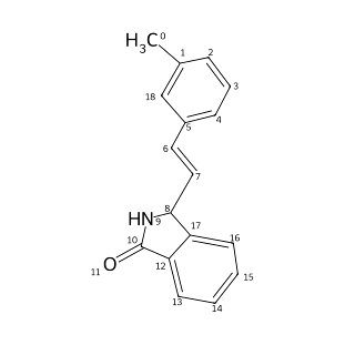 Cc1cccc(C=CC2NC(=O)c3ccccc32)c1